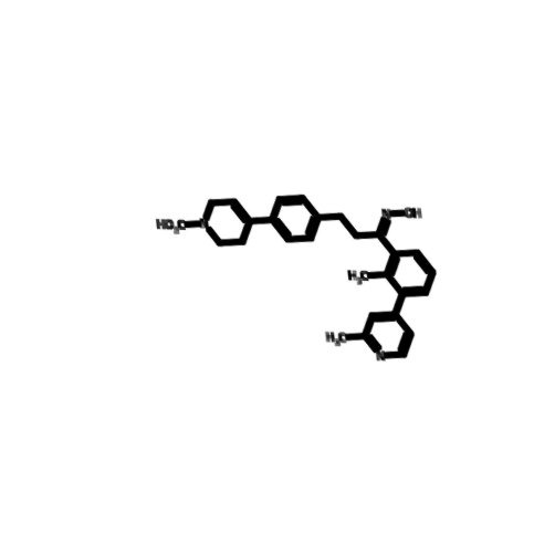 Cc1cc(-c2cccc(/C(CCc3ccc(C4=CCN(C(=O)O)CC4)cc3)=N\O)c2C)ccn1